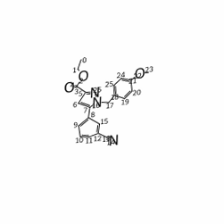 CCOC(=O)c1cc(-c2cccc(C#N)c2)n(Cc2ccc(OC)cc2)n1